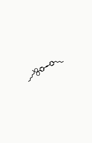 CCCCCCC(C)OC(=O)c1ccc(C#Cc2ccc(CCCCC)cc2)cc1